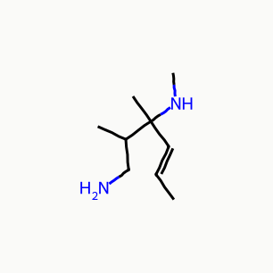 CC=CC(C)(NC)C(C)CN